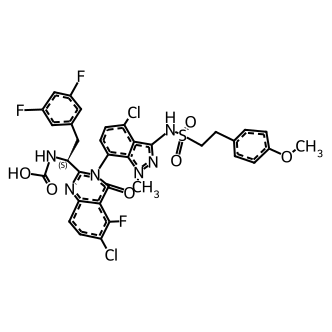 COc1ccc(CCS(=O)(=O)Nc2nn(C)c3c(-n4c([C@H](Cc5cc(F)cc(F)c5)NC(=O)O)nc5ccc(Cl)c(F)c5c4=O)ccc(Cl)c23)cc1